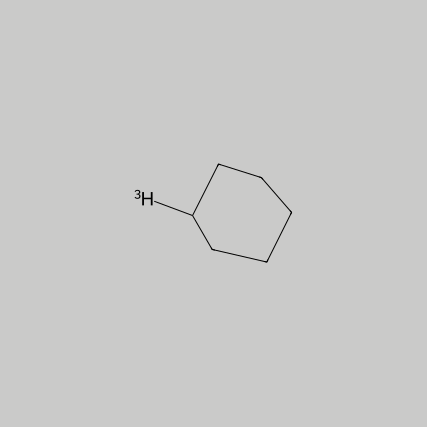 [3H]C1CCCCC1